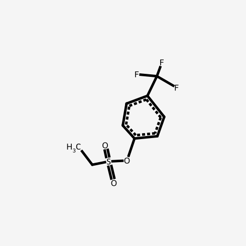 CCS(=O)(=O)Oc1ccc(C(F)(F)F)cc1